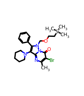 Cc1nc2c(N3CCCCC3)c(-c3ccccc3)n(COCC[Si](C)(C)C)n2c(=O)c1Br